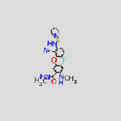 CNC(=O)c1cc(Oc2c(F)ccc(NSN3CCCC3)c2C#N)ccc1NC